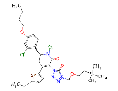 CCCCOc1ccc([C@@H]2CC(c3ccc(CC)s3)=C(n3nnn(COCC[Si](C)(C)C)c3=O)C(=O)N2Cl)c(Cl)c1